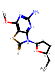 CCOc1nc(N)nc2c1sc(=S)n2[C@H]1CC[C@@H](COC(C)=O)O1